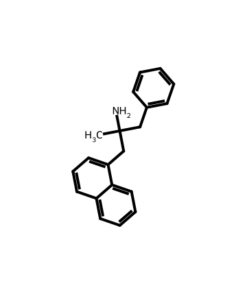 CC(N)(Cc1ccccc1)Cc1cccc2ccccc12